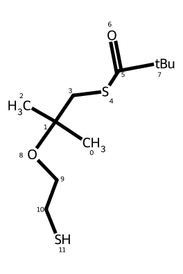 CC(C)(CSC(=O)C(C)(C)C)OCCS